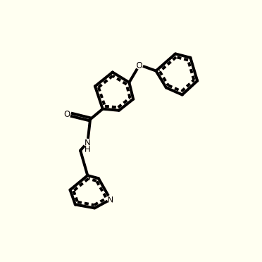 O=C(NCc1cccnc1)c1ccc(Oc2ccccc2)cc1